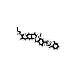 CCCNC(=O)/C(C)=C\c1ccc2ccn(Cc3ccc(C(=O)NS(=O)(=O)c4ccccc4C)cc3OC)c2c1